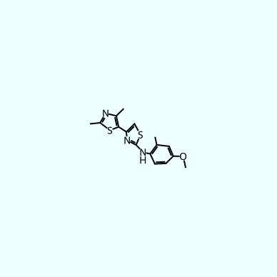 COc1ccc(Nc2nc(-c3sc(C)nc3C)cs2)c(C)c1